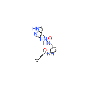 O=C(C#CC1CC1)Nc1cccc(CNC(=O)NCc2ccnc3[nH]ccc23)c1